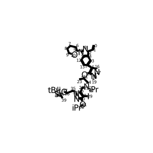 C=Cc1nn(C2CCCCO2)c2ccc(-c3cnn(C)c3OC(C)CN(Cc3c(I)c(OC(C)C)nn3CCO[Si](C)(C)C(C)(C)C)C(C)C)cc12